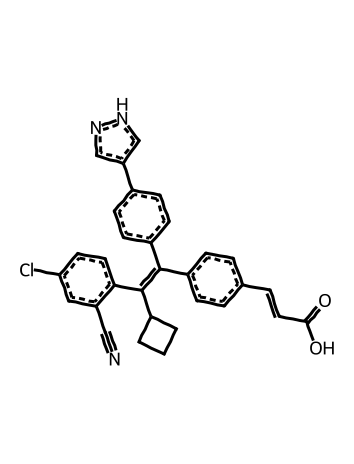 N#Cc1cc(Cl)ccc1C(=C(c1ccc(C=CC(=O)O)cc1)c1ccc(-c2cn[nH]c2)cc1)C1CCC1